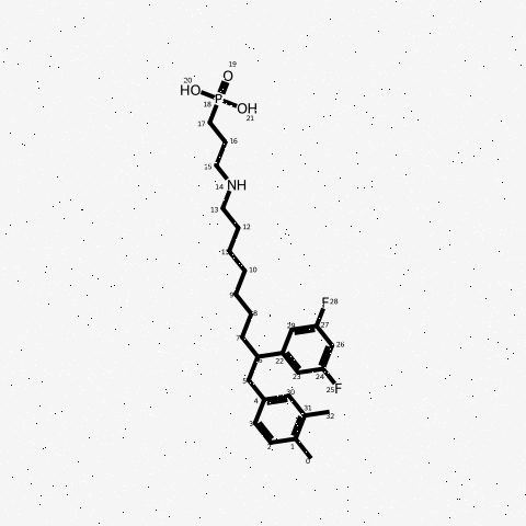 Cc1ccc(CC(CCCCCCCNCCCP(=O)(O)O)c2cc(F)cc(F)c2)cc1C